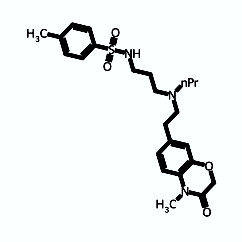 CCCN(CCCNS(=O)(=O)c1ccc(C)cc1)CCc1ccc2c(c1)OCC(=O)N2C